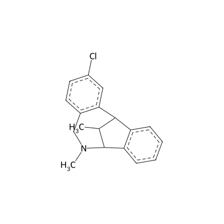 CC1C2c3cc(Cl)ccc3CN(C)C1c1ccccc12